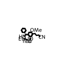 CCCC[C@]1(CC)CS(=O)(=O)c2cc(CCCC#N)c(OC)cc2[C@@H](c2ccccc2)N1